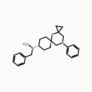 CN(Cc1ccccc1)[C@H]1CC[C@]2(CC1)CN(c1ccccc1)CC1(CC1)O2